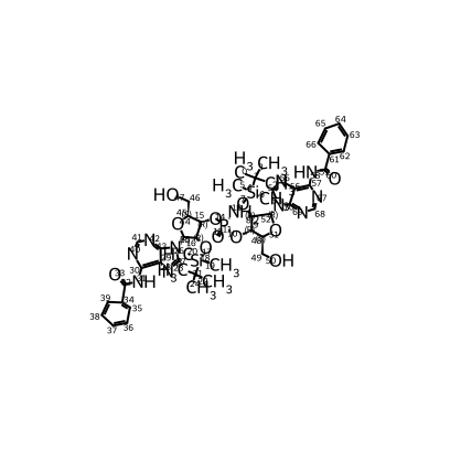 CC(C)(C)[Si](C)(C)O[C@@H]1[C@H](OP(N)(=O)O[C@H]2[C@@H](O[Si](C)(C)C(C)(C)C)[C@H](n3cnc4c(NC(=O)c5ccccc5)ncnc43)O[C@H]2CO)[C@H](CO)O[C@H]1n1cnc2c(NC(=O)c3ccccc3)ncnc21